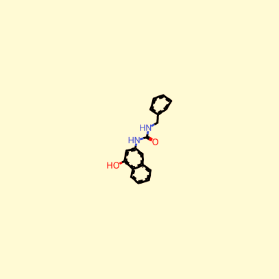 O=C(NCc1ccccc1)Nc1cc(O)c2ccccc2c1